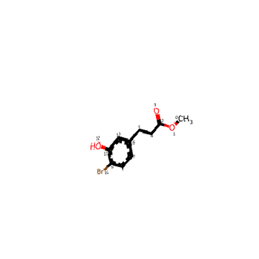 COC(=O)CCc1ccc(Br)c(O)c1